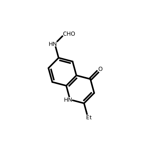 CCc1cc(=O)c2cc(NC=O)ccc2[nH]1